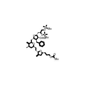 C=C1C(C[C@@H]2O[C@H](C[C@@H](CO[Si](C)(C)C(C)(C)C)O[Si](C)(C)C(C)(C)C)[C@H](OC)[C@H]2Cc2ccccc2)O[C@@H](CC[C@@H]2O[C@@H](CCCOC(=O)C(C)(C)C)CC2=C)C[C@H]1C